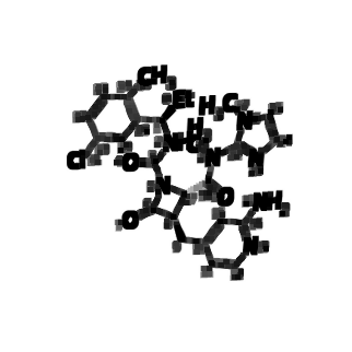 CC[C@@H](NC(=O)N1C(=O)[C@H](Cc2ccnc(N)c2)[C@H]1C(=O)N(C)c1nccn1C)c1cc(Cl)ccc1C